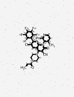 C=CC(=O)N1CCN(c2c(C#N)c(=O)n(-c3c(C)ccnc3C(C)C)c3nc(-c4c(F)c(F)c(F)c(F)c4F)c(Cl)cc23)CC1